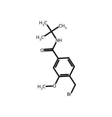 COc1cc(C(=O)NC(C)(C)C)ccc1CBr